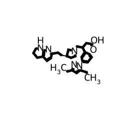 CCc1cc(CC)n(-c2cccc(C(CC(=O)O)CN3CC[C@@H](CCc4ccc5c(n4)NCCC5)C3)c2)n1